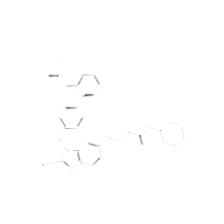 CCCCc1nc2ccc(NCCC(=O)NC3CCCCC3)cc2n1Cc1ccc(-c2ccccc2OC(=O)OC(C)(C)C)cc1